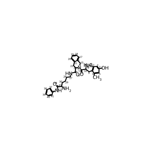 Cc1cc(O)cc(C)c1CC(N)C(=O)N1Cc2ccccc2CC1C(=O)NCCCCC(N)C(=O)Nc1ccccc1